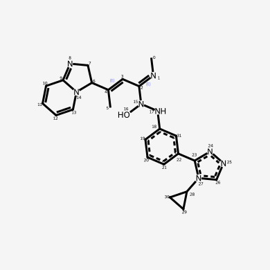 C/N=C(\C=C(/C)C1CN=C2C=CC=CN21)N(O)Nc1cccc(-c2nncn2C2CC2)c1